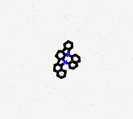 c1ccc(-n2c3ccccc3c3ccc4c5ccc6ccccc6c5n(-c5ccccc5)c4c32)cc1